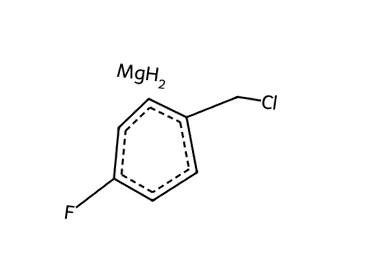 Fc1ccc(CCl)cc1.[MgH2]